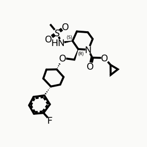 CS(=O)(=O)N[C@H]1CCCN(C(=O)OC2CC2)[C@H]1CO[C@H]1CC[C@@H](c2cccc(F)c2)CC1